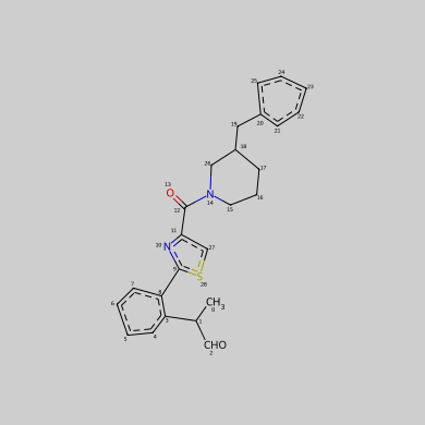 CC(C=O)c1ccccc1-c1nc(C(=O)N2CCCC(Cc3ccccc3)C2)cs1